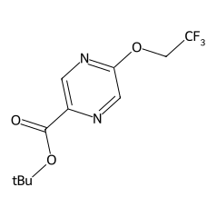 CC(C)(C)OC(=O)c1cnc(OCC(F)(F)F)cn1